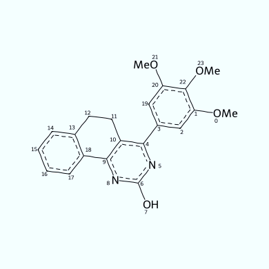 COc1cc(-c2nc(O)nc3c2CCc2ccccc2-3)cc(OC)c1OC